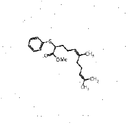 COC(=O)C(CCC=C(C)CCC=C(C)C)Sc1ccccc1